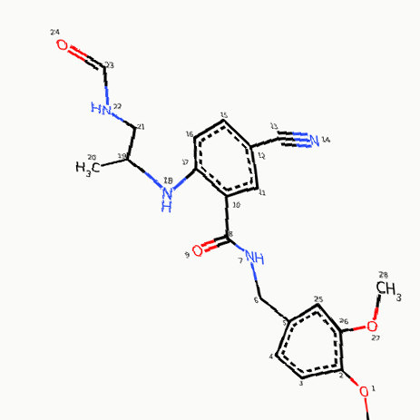 COc1ccc(CNC(=O)c2cc(C#N)ccc2NC(C)CNC=O)cc1OC